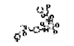 CCN(CCc1ccc(NC(=O)c2cc(OC)c(OC)cc2NC(=O)c2cc(=O)c3ccccc3o2)cc1)C(=O)Cc1ccncc1